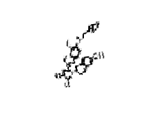 CCN(Cc1ccc(OCCN2CCCC2)c(F)c1)C1C=C(OC)C(OC)=CC1[C@@H]1CCc2cc(O)ccc2C1